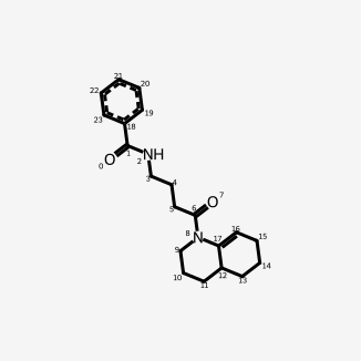 O=C(NCCCC(=O)N1CCCC2CCCC=C21)c1ccccc1